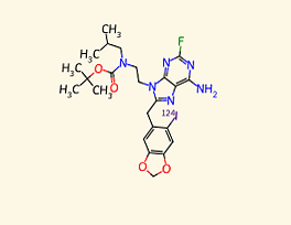 CC(C)CN(CCn1c(Cc2cc3c(cc2[124I])OCO3)nc2c(N)nc(F)nc21)C(=O)OC(C)(C)C